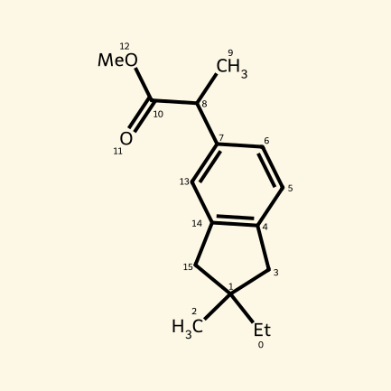 CCC1(C)Cc2ccc(C(C)C(=O)OC)cc2C1